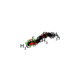 Cc1c(F)c(F)c(C(=O)c2c(F)c(F)c(Oc3ccc(C(C)(c4ccc(Oc5cccc(Oc6ccc(C(C)(C)C(F)(F)F)cc6)c5C#N)cc4)C(F)(F)F)cc3)c(F)c2F)c(F)c1F